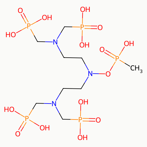 CP(=O)(O)ON(CCN(CP(=O)(O)O)CP(=O)(O)O)CCN(CP(=O)(O)O)CP(=O)(O)O